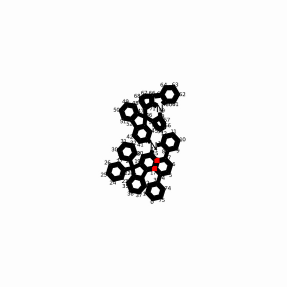 c1ccc(-c2ccc(-c3ccccc3N(c3ccc4c(c3)C(c3ccccc3)(c3ccccc3)c3ccccc3-4)c3ccc4c(c3)C3(c5ccccc5-4)c4ccccc4-n4c5ccccc5c5cccc3c54)cc2)cc1